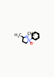 CC1CC[N+]([O-])(c2ccccc2)N1C